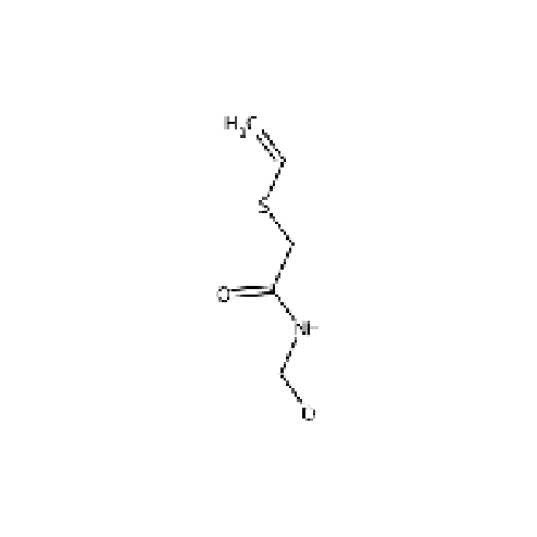 C=CSCC(=O)NC[O]